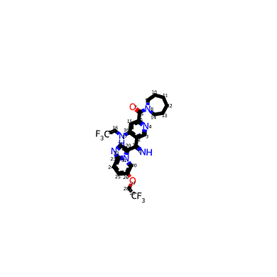 N=C(c1cnc(C(=O)N2CCCCCC2)cc1NCC(F)(F)F)c1cnc2ccc(OCC(F)(F)F)cn12